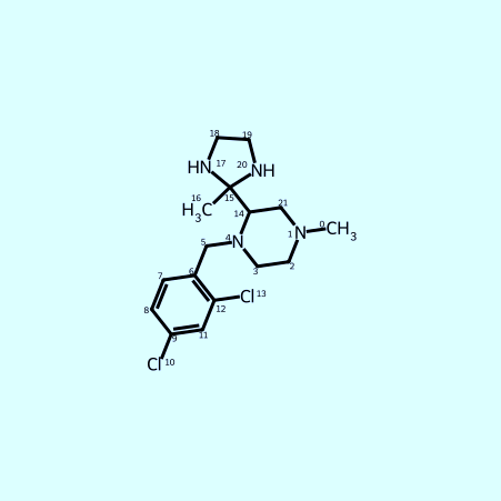 CN1CCN(Cc2ccc(Cl)cc2Cl)C(C2(C)NCCN2)C1